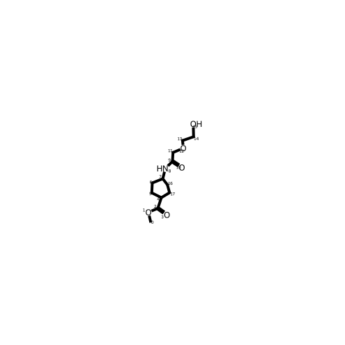 COC(=O)C1CCC(NC(=O)COCCO)CC1